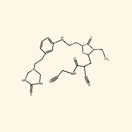 CCN1C(=O)C(CCNc2cccc(CCN3CNC(=S)NC3)c2)SC1CC(C#N)C(=O)NCC#N